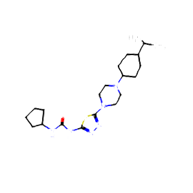 CC(C)C1CCC(N2CCN(c3nnc(NC(=O)NC4CCCC4)s3)CC2)CC1